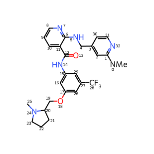 CNc1cc(CNc2ncccc2C(=O)Nc2cc(OCC3CCCN3C)cc(C(F)(F)F)c2)ccn1